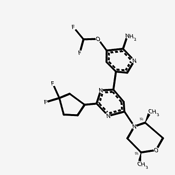 C[C@H]1CN(c2cc(-c3cnc(N)c(OC(F)F)c3)nc(C3CCC(F)(F)C3)n2)[C@@H](C)CO1